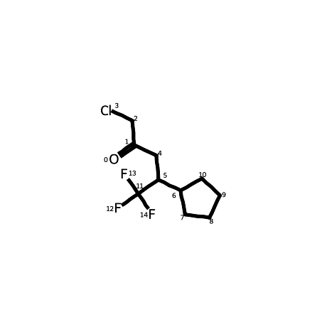 O=C(CCl)CC(C1CCCC1)C(F)(F)F